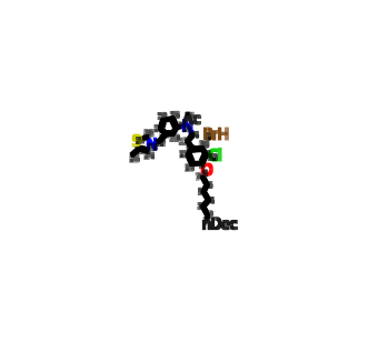 Br.CCCCCCCCCCCCCCCCOc1ccc(CCN(C(C)=O)c2cccc(CN3C=C(C)SC3)c2)cc1Cl